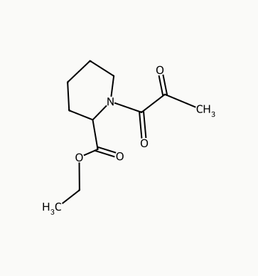 CCOC(=O)C1CCCCN1C(=O)C(C)=O